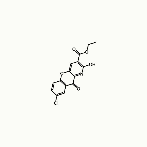 CCOC(=O)c1cc2oc3ccc(Cl)cc3c(=O)c2nc1O